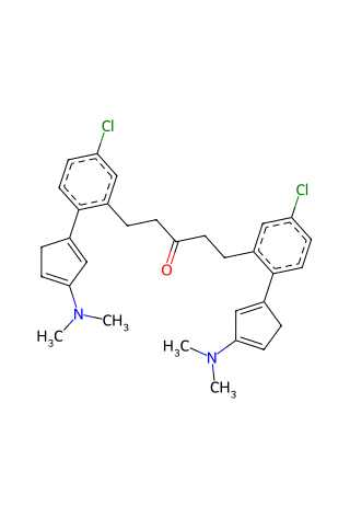 CN(C)C1=CCC(c2ccc(Cl)cc2CCC(=O)CCc2cc(Cl)ccc2C2=CC(N(C)C)=CC2)=C1